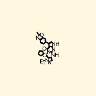 CCn1ncc(Nc2nc(OC3CCCC3)c3c(-c4ccc5nc(C)oc5c4)c[nH]c3n2)c1Cl